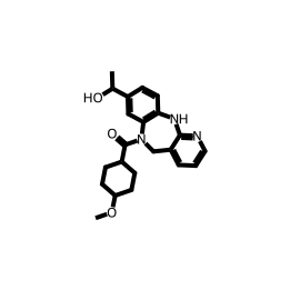 COC1CCC(C(=O)N2Cc3cccnc3Nc3ccc(C(C)O)cc32)CC1